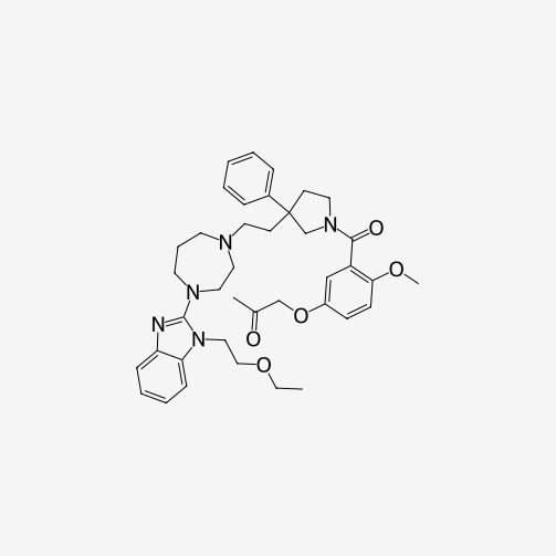 CCOCCn1c(N2CCCN(CCC3(c4ccccc4)CCN(C(=O)c4cc(OCC(C)=O)ccc4OC)C3)CC2)nc2ccccc21